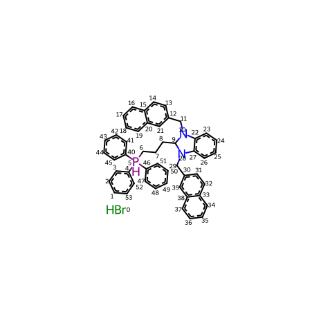 Br.c1ccc([PH](CCCC2N(Cc3ccc4ccccc4c3)c3ccccc3N2Cc2ccc3ccccc3c2)(c2ccccc2)c2ccccc2)cc1